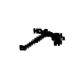 CCC=CCC=CCC=CCC=CCC=CCC=CCCC(=O)N[C@@H](CCCCNC(=O)C(C)c1ccc(CC(C)C)cc1)C(=O)O